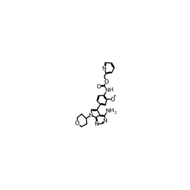 COc1cc(-c2cn(C3CCOCC3)c3ncnc(N)c23)ccc1NC(=O)OCc1ccccn1